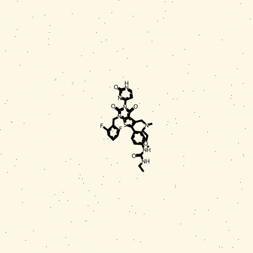 CCNC(=O)Nc1ccc(-c2sc3c(c2CN(C)CCOC)c(=O)n(-c2cc[nH]c(=O)n2)c(=O)n3Cc2c(F)cccc2F)cc1